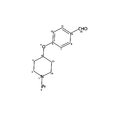 CC(C)N1CCC(Oc2ccc(C=O)cc2)CC1